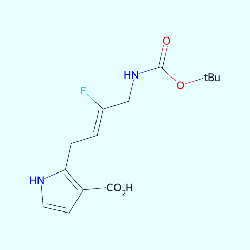 CC(C)(C)OC(=O)NCC(F)=CCc1[nH]ccc1C(=O)O